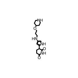 O=C1CCC(c2cc(NCCCOC3CCNCC3)c[nH]2)C(=O)N1